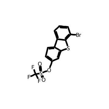 O=S(=O)(Oc1ccc2c(c1)sc1c(Br)cccc12)C(F)(F)F